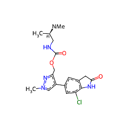 CN[C@H](C)CNC(=O)OCc1nn(C)cc1-c1cc(Cl)c2c(c1)CC(=O)N2